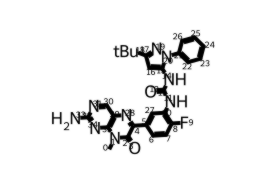 Cn1c(=O)c(-c2ccc(F)c(NC(=O)Nc3cc(C(C)(C)C)nn3-c3ccccc3)c2)nc2cnc(N)nc21